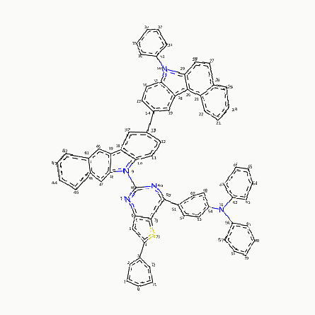 c1ccc(-c2cc3nc(-n4c5ccc(-c6ccc7c(c6)c6c8ccccc8ccc6n7-c6ccccc6)cc5c5cc6ccccc6cc54)nc(-c4ccc(N(c5ccccc5)c5ccccc5)cc4)c3s2)cc1